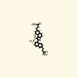 CCCCC(CC)CCc1ccc2c(-c3sc4ccc5cc(CCC(CC)CCCC)ccc5c4c3C)c(C)ccc2c1